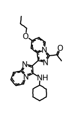 CCCOc1ccn2c(C(C)=O)nc(-c3nc4ccccn4c3NC3CCCCC3)c2c1